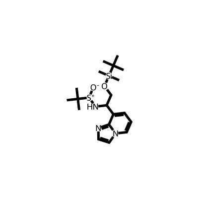 CC(C)(C)[S+]([O-])NC(CO[Si](C)(C)C(C)(C)C)c1cccn2ccnc12